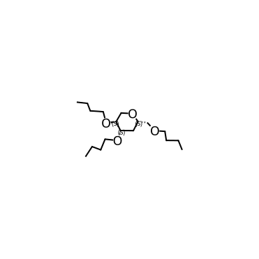 CCCCOC[C@@H]1C[C@H](OCCCC)[C@@H](OCCCC)CO1